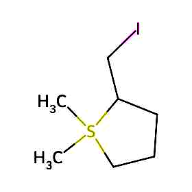 CS1(C)CCCC1CI